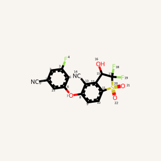 N#Cc1cc(F)cc(Oc2ccc3c(c2C#N)C(O)C(F)(F)S3(=O)=O)c1